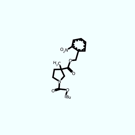 CC(C)(C)OC(=O)N1CCC(C)(C(=O)OCc2ccccc2[N+](=O)[O-])C1